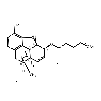 CC(=O)OCCCCO[C@H]1C=C[C@H]2[C@H]3Cc4ccc(OC(C)=O)c5c4[C@@]2(CCN3C)[C@H]1O5